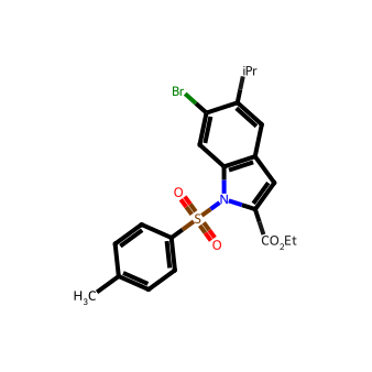 CCOC(=O)c1cc2cc(C(C)C)c(Br)cc2n1S(=O)(=O)c1ccc(C)cc1